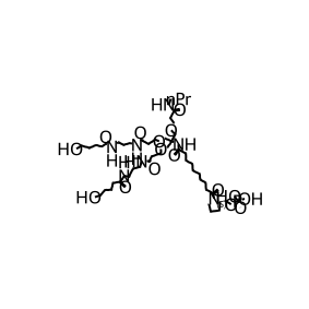 CCCNC(=O)CCOCC(COCCC(=O)NCCCNC(=O)CCCCO)(COCCC(=O)NCCCNC(=O)CCCCO)NC(=O)CCCCCCCCC(=O)N1CCC[C@H]1COP(=O)(O)O